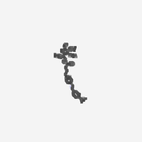 CN(C)c1ccc(/C=C/c2cc[n+](CCCC(=O)OCC(O)[C@H]3OC(=O)C(O)=C3O)cc2)cc1